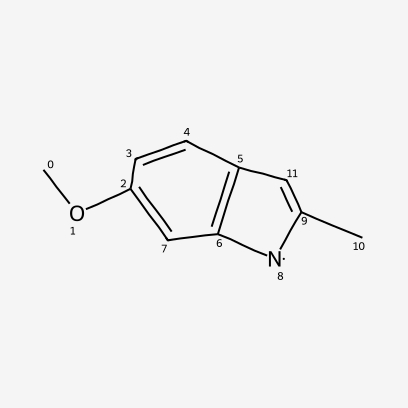 COc1ccc2c(c1)[N]C(C)=C2